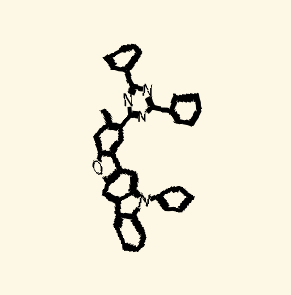 Cc1cc2oc3cc4c5ccccc5n(-c5ccccc5)c4cc3c2cc1-c1nc(-c2ccccc2)nc(-c2ccccc2)n1